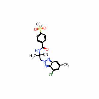 CC(C#N)(Cn1nc2cc(C(F)(F)F)cc(Cl)c2n1)NC(=O)c1ccc(S(=O)(=O)C(F)(F)F)cc1